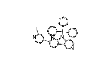 Ic1cc(-c2ccc3c4cnccc4n(C(c4ccccc4)(c4ccccc4)c4ccccc4)c3n2)ccn1